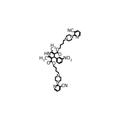 CC1=C(C(=O)OCCCCN2CCN(c3ncccc3C#N)CC2)C(c2cccc([N+](=O)[O-])c2)C(C(=O)OCCCCN2CCN(c3ncccc3C#N)CC2)=C(C)N1